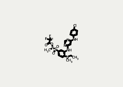 CCN(C)c1ccc(S(=O)(=O)N(C)OC(=O)C(F)(F)F)cc1Nc1cc(Nc2ccc(Cl)cc2)ncn1